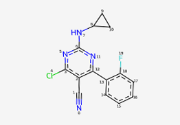 N#Cc1c(Cl)nc(NC2CC2)nc1-c1ccccc1F